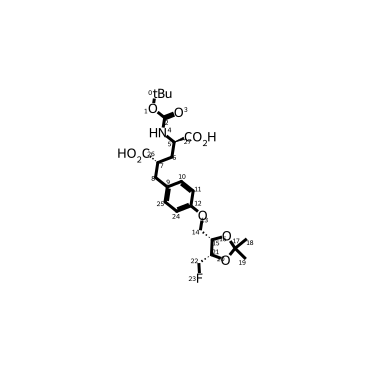 CC(C)(C)OC(=O)N[C@H](C[C@H](Cc1ccc(OC[C@@H]2OC(C)(C)O[C@@H]2CF)cc1)C(=O)O)C(=O)O